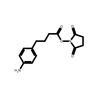 Nc1ccc(CCCC(=O)ON2C(=O)CCC2=O)cc1